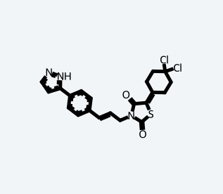 O=C1SC(=C2CCC(Cl)(Cl)CC2)C(=O)N1C/C=C/c1ccc(-c2ccn[nH]2)cc1